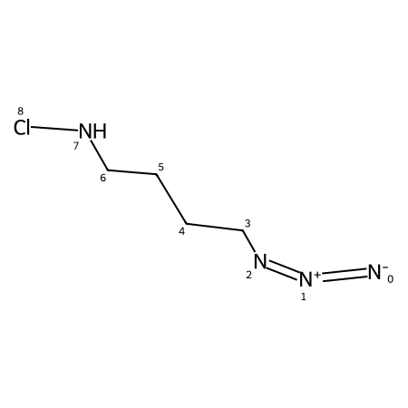 [N-]=[N+]=NCCCCNCl